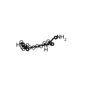 Nc1ccc(/C=C/C=C2/C(=O)N(CCNC(=O)CCOCCOCCOCCOc3cccc4c3C(=O)N(C3CCC(=O)NC3=O)C4=O)c3ccccc32)cc1